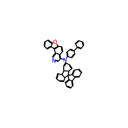 C1=CC2C3C=C(N(c4ccc(-c5ccccc5)cc4)c4cncc5c4ccc4oc6ccccc6c45)C=CC3C3(c4ccccc4-c4ccccc43)C2C=C1